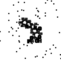 CC(C)O[C@H]1c2cc3n(c(=O)c2COC1O)Cc1cc2ccccc2nc1-3